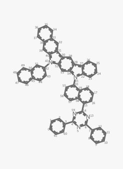 c1ccc(-c2nc(-c3ccccc3)nc(-c3cccc4c(-n5c6ccccc6c6cc7c8cc9ccccc9cc8n(-c8ccc9ccccc9c8)c7cc65)cccc34)n2)cc1